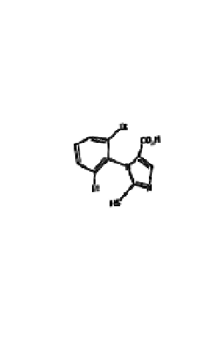 CCc1cccc(CC)c1-n1c(C(=O)O)cnc1S